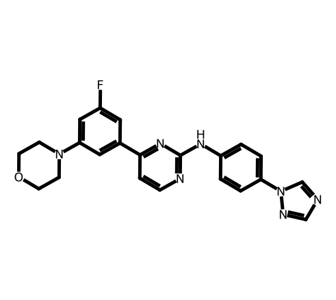 Fc1cc(-c2ccnc(Nc3ccc(-n4cncn4)cc3)n2)cc(N2CCOCC2)c1